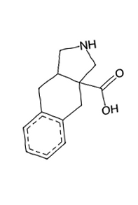 O=C(O)C12CNCC1Cc1ccccc1C2